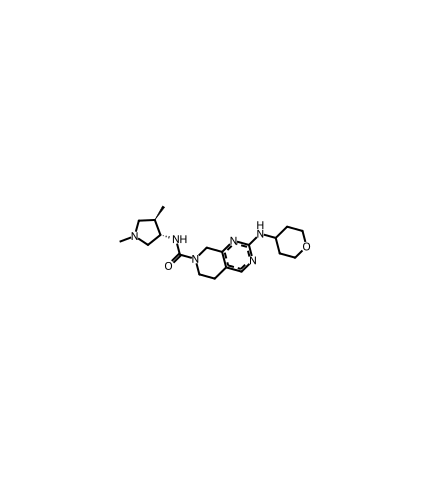 C[C@@H]1CN(C)C[C@H]1NC(=O)N1CCc2cnc(NC3CCOCC3)nc2C1